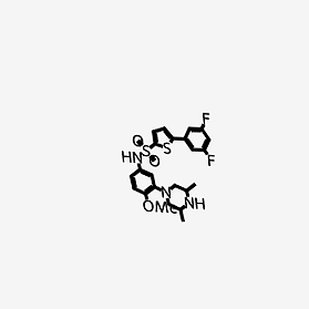 COc1ccc(NS(=O)(=O)c2ccc(-c3cc(F)cc(F)c3)s2)cc1N1CC(C)NC(C)C1